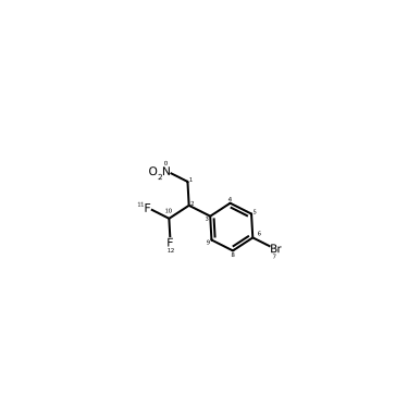 O=[N+]([O-])CC(c1ccc(Br)cc1)C(F)F